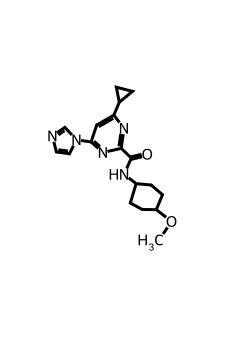 COC1CCC(NC(=O)c2nc(C3CC3)cc(-n3ccnc3)n2)CC1